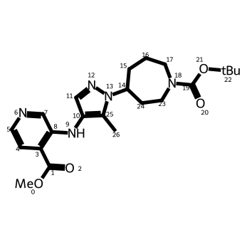 COC(=O)c1ccncc1Nc1cnn(C2CCCN(C(=O)OC(C)(C)C)CC2)c1C